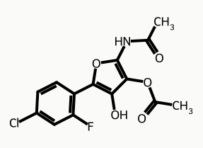 CC(=O)Nc1oc(-c2ccc(Cl)cc2F)c(O)c1OC(C)=O